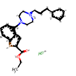 CCOC(=O)c1cc2c(N3CCN(CCCc4ccccc4)CC3)cccc2s1.Cl